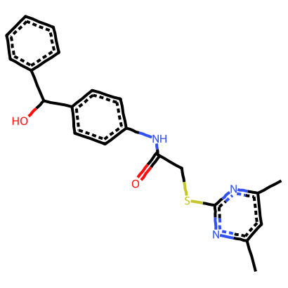 Cc1cc(C)nc(SCC(=O)Nc2ccc(C(O)c3ccccc3)cc2)n1